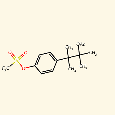 CC(=O)OC(C)(C)C(C)(C)c1ccc(OS(=O)(=O)C(F)(F)F)cc1